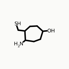 NC1CCC(O)CCC1CS